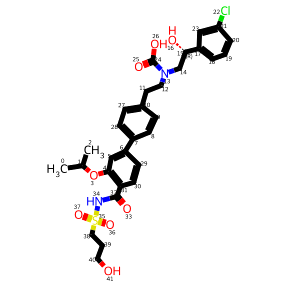 CC(C)Oc1cc(-c2ccc(CCN(C[C@H](O)c3cccc(Cl)c3)C(=O)O)cc2)ccc1C(=O)NS(=O)(=O)CCCO